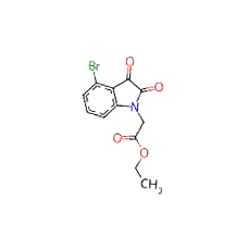 CCOC(=O)CN1C(=O)C(=O)c2c(Br)cccc21